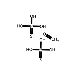 C=O.OP(O)(O)=S.OP(O)(O)=S